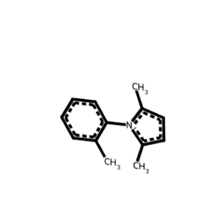 Cc1ccccc1-n1c(C)ccc1C